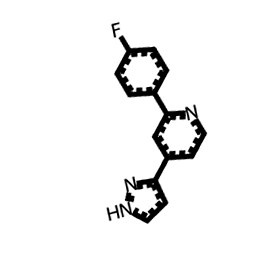 Fc1ccc(-c2cc(-c3cc[nH]n3)ccn2)cc1